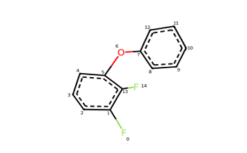 Fc1cccc(Oc2cc[c]cc2)c1F